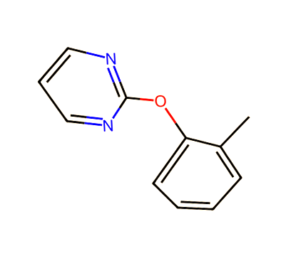 Cc1ccccc1Oc1ncccn1